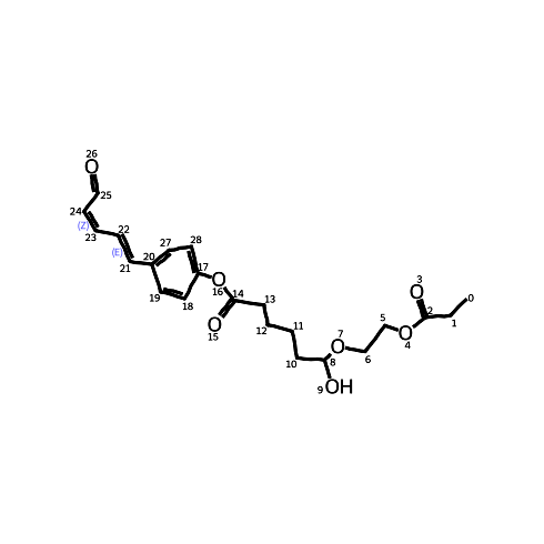 CCC(=O)OCCOC(O)CCCCC(=O)Oc1ccc(/C=C/C=C\C=O)cc1